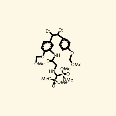 CCC(c1ccc(OCOC)cc1)C(CC)c1ccc(OCOC)c(NC(=O)CNC(P(=O)(OC)OC)P(=O)(OC)OC)c1